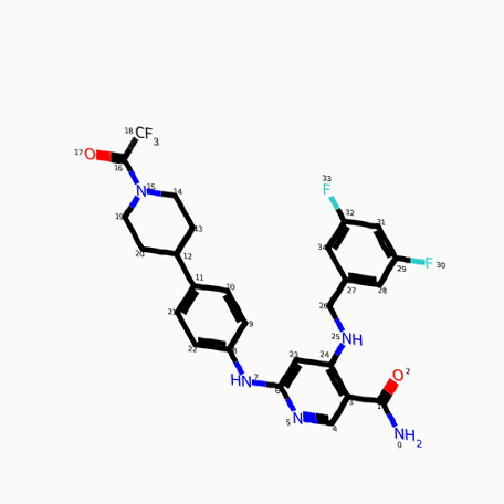 NC(=O)c1cnc(Nc2ccc(C3CCN(C(=O)C(F)(F)F)CC3)cc2)cc1NCc1cc(F)cc(F)c1